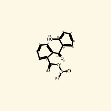 CCN(CC)OC(=O)c1ccccc1C(=O)c1ccccc1O